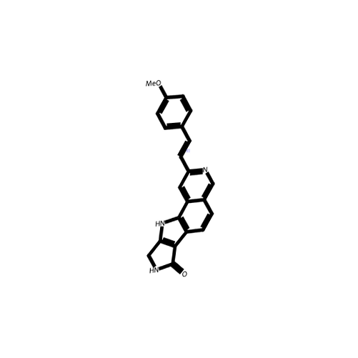 COc1ccc(/C=C/c2cc3c(ccc4c5c([nH]c43)CNC5=O)cn2)cc1